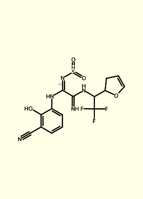 N#Cc1cccc(N/C(=N/[SH](=O)=O)C(=N)NC(C2CC=CO2)C(F)(F)F)c1O